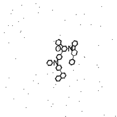 C1=CC(c2ccccc2)Cc2c1c1ccccc1n2-c1cc(-c2ccc(N(c3ccccc3)c3ccc(-c4cccc5ccccc45)cc3)cc2)c2oc3ccccc3c2c1